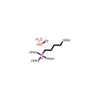 CCCCCCCCCCCCCC[PH](CCCCCC)(CCCCCC)CCCCCC.CCO.O